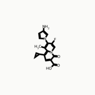 Cc1c(-n2ccc(N)c2)c(F)cn2c(=O)c(C(=O)O)cc(C3CC3)c12